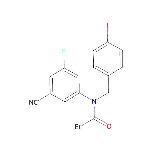 CCC(=O)N(Cc1ccc(I)cc1)c1cc(F)cc(C#N)c1